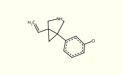 C=CC12CNCC1(c1cccc(Cl)c1)C2